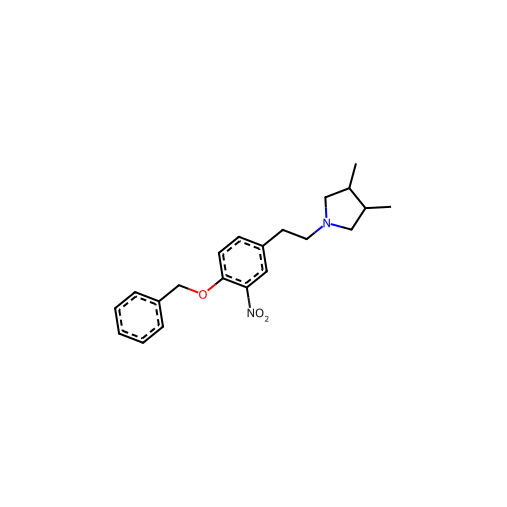 CC1CN(CCc2ccc(OCc3ccccc3)c([N+](=O)[O-])c2)CC1C